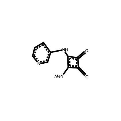 CNc1c(Nc2cccnc2)c(=O)c1=O